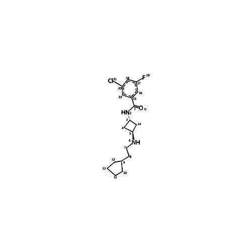 O=C(N[C@H]1C[C@H](NCCC2CCCC2)C1)c1cc(F)cc(Cl)c1